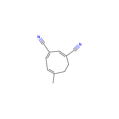 C/C1=C/C=C(C#N)\C=C(\C#N)CC1